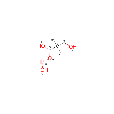 CC(C)(CO)C(O)OBO